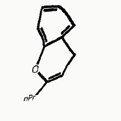 CCCC1=CCc2ccccc2O1